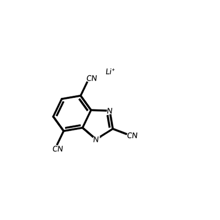 N#Cc1nc2c(C#N)ccc(C#N)c2[n-]1.[Li+]